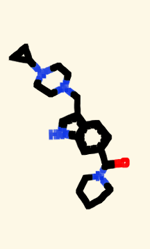 O=C(c1ccc2c(CN3CCN(C4CC4)CC3)c[nH]c2c1)N1CCCCC1